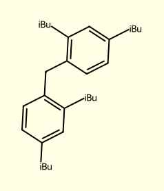 CCC(C)c1ccc(Cc2ccc(C(C)CC)cc2C(C)CC)c(C(C)CC)c1